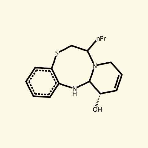 CCCC1CSc2ccccc2NC2[C@@H](O)C=CCN12